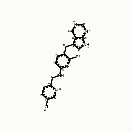 Fc1nc(NCc2ccc(Cl)cn2)ccc1Cc1c[nH]c2ncncc12